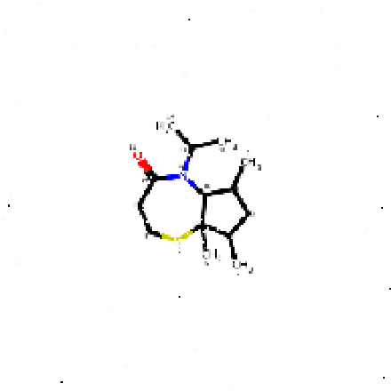 CC1CC(C)C2(C)SCCC(=O)N(C(C)C)C12